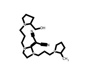 CC1CCCN1CCCN1CCN(CCCN2CCCC2CO)C1=C(C#N)C#N